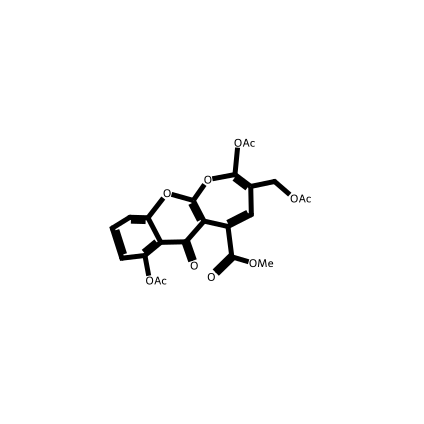 COC(=O)C1=CC(COC(C)=O)=C(OC(C)=O)Oc2oc3cccc(OC(C)=O)c3c(=O)c21